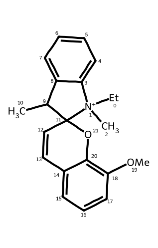 CC[N+]1(C)c2ccccc2C(C)C12C=Cc1cccc(OC)c1O2